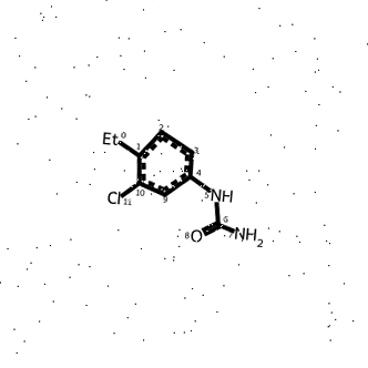 CCc1ccc(NC(N)=O)cc1Cl